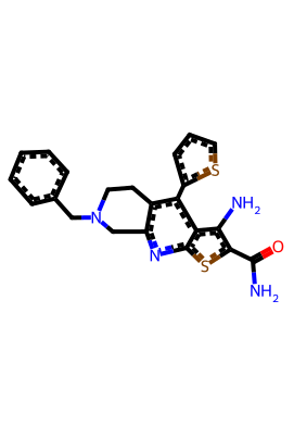 NC(=O)c1sc2nc3c(c(-c4cccs4)c2c1N)CCN(Cc1ccccc1)C3